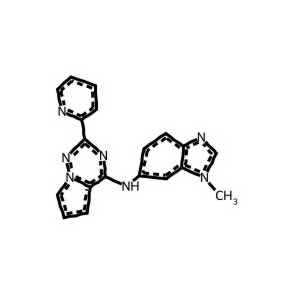 Cn1cnc2ccc(Nc3nc(-c4ccccn4)nn4cccc34)cc21